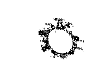 CCCC[C@H]1C(=O)N(C)[C@@H](CCSC)C(=O)N[C@@H](CCCNC(=N)N)C(=O)NC(C(=O)NCC(N)=O)CSCC(=O)N[C@@H](Cc2ccc(O)cc2)C(=O)N(C)[C@@H](C)C(=O)N[C@@H](CC(N)=O)C(=O)N2CCC[C@H]2C(=O)N[C@@H](CN)C(=O)N[C@@H](CC(C)C)C(=O)N2C[C@H](O)C[C@H]2C(=O)N[C@@H](Cc2c[nH]c3ccccc23)C(=O)N[C@@H](CO)C(=O)N[C@@H](Cc2c[nH]c3ccccc23)C(=O)N1C